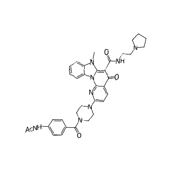 CC(=O)Nc1ccc(C(=O)N2CCN(c3ccc4c(=O)c(C(=O)NCCN5CCCC5)c5n(C)c6ccccc6n5c4n3)CC2)cc1